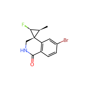 C[C@@H]1[C@H](F)[C@]12CNC(=O)c1ccc(Br)cc12